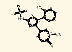 CCS(=O)(=O)Nc1cc(-c2ccc(=O)n(C)c2)c(-c2ccccc2C)s1